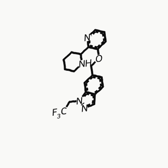 FC(F)(F)Cn1ncc2ccc(COc3cccnc3C3CCCCN3)cc21